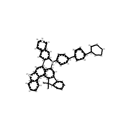 CC1(C)c2ccccc2-c2cc(N(c3ccc(-c4ccc(C5CCCCC5)cc4)cc3)c3cc4ccccc4cc3-c3ccc4c(c3)oc3ccccc34)ccc21